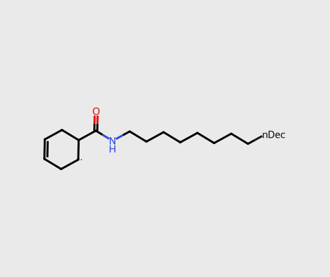 CCCCCCCCCCCCCCCCCCNC(=O)C1[CH]CC=CC1